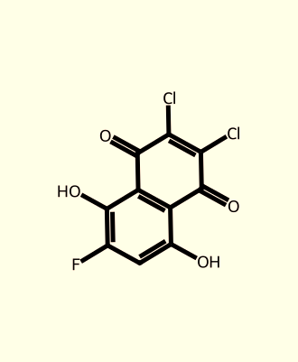 O=C1C(Cl)=C(Cl)C(=O)c2c(O)c(F)cc(O)c21